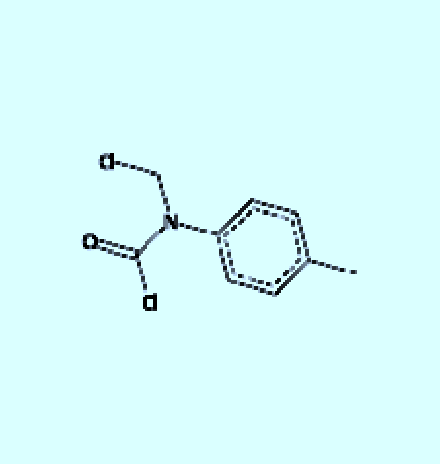 Cc1ccc(N(CCl)C(=O)Cl)cc1